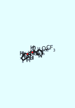 CC(C)(C)NC(=O)CN1[C@@H]2CC[C@H]1C[C@H](CNC(=O)c1cncc(OCC(F)(F)F)c1)C2